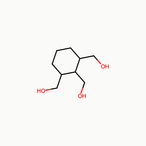 OCC1CCCC(CO)C1CO